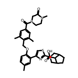 Cc1ccc(OCc2c(C)cc(C(=O)N3CCN(C)C(=O)C3)cc2C)c(-c2csc(N3CC4CCC(C3)C4C(=O)O)n2)c1